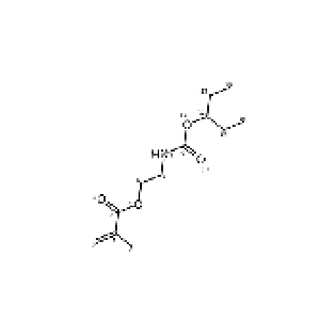 C=C(C)C(=O)OCCNC(=O)OC(CC)CC